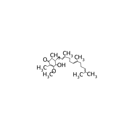 COC1=C(C)C(=O)[C@H](C)[C@@H](C/C=C(\C)CC/C=C(\C)CCC=C(C)C)[C@H]1O